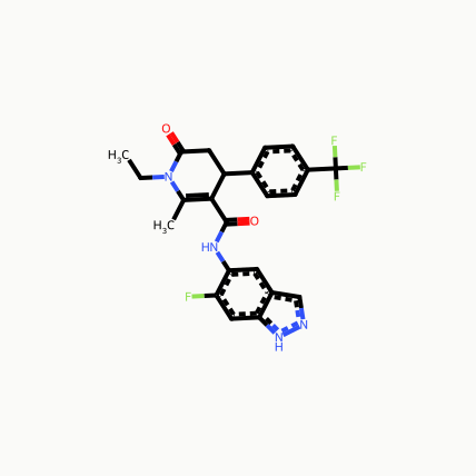 CCN1C(=O)CC(c2ccc(C(F)(F)F)cc2)C(C(=O)Nc2cc3cn[nH]c3cc2F)=C1C